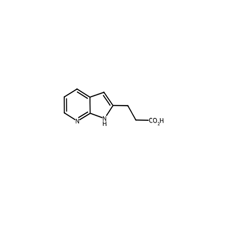 O=C(O)CCc1cc2cccnc2[nH]1